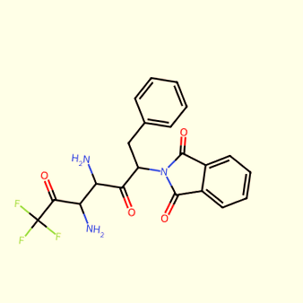 NC(C(=O)C(Cc1ccccc1)N1C(=O)c2ccccc2C1=O)C(N)C(=O)C(F)(F)F